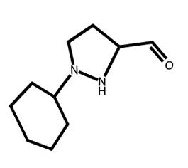 O=CC1CCN(C2CCCCC2)N1